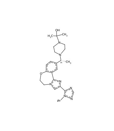 CC(C)n1ncnc1-c1cn2c(n1)-c1cc([C@@H](C)N3CCN(C(C)(C)O)CC3)ccc1OCC2